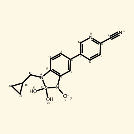 CN1c2cc(-c3ccc(C#N)nc3)ccc2N(CC2CC2)S1(O)O